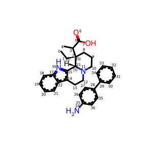 CC[C@@]1(C(C)C(=O)O)CCCN2CCc3c([nH]c4ccccc34)[C@@H]21.Nc1ccc(-c2ccccc2)cc1